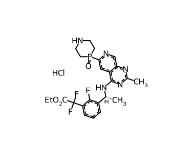 CCOC(=O)C(F)(F)c1cccc([C@@H](C)Nc2nc(C)nc3cnc(P4(=O)CCNCC4)cc23)c1F.Cl